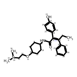 CC/C(=C(/C(=O)NC1CCC(OCCN(C)C)CC1)c1ccc(O)cc1)c1ccccc1